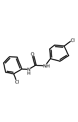 O=C(Nc1ccc(Cl)cc1)Nc1ccccc1Cl